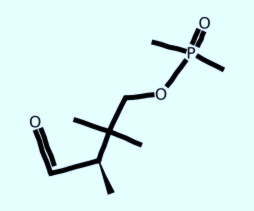 C[C@@H](C=O)C(C)(C)COP(C)(C)=O